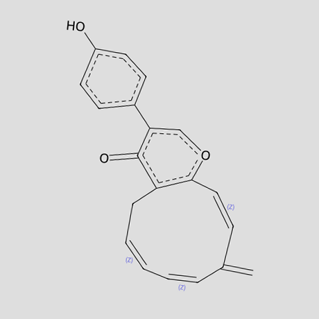 C=C1/C=C\C=C/Cc2c(occ(-c3ccc(O)cc3)c2=O)/C=C\1